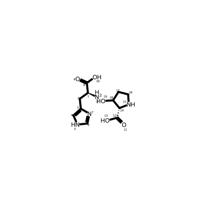 N[C@@H](Cc1c[nH]cn1)C(=O)O.O=C(O)[C@H]1NCCC1O